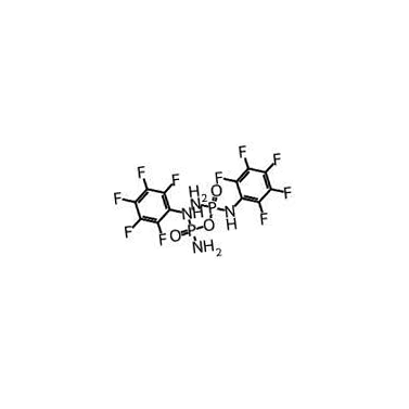 NP(=O)(Nc1c(F)c(F)c(F)c(F)c1F)OP(N)(=O)Nc1c(F)c(F)c(F)c(F)c1F